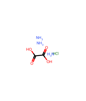 Cl.N.N.N.O=C(O)C(=O)O